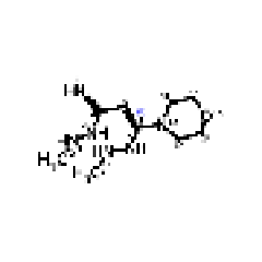 CNNC(=N)/C=C(\NNC)N1CCOCC1